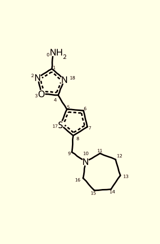 Nc1noc(-c2ccc(CN3CCCCCC3)s2)n1